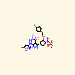 CCS(=O)(=O)Nc1ccc(-c2n[nH]c(Nc3cc(C)on3)c2C(N)=O)cc1OCCc1ccc(F)cc1